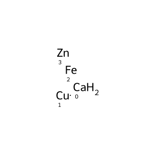 [CaH2].[Cu].[Fe].[Zn]